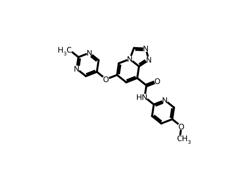 COc1ccc(NC(=O)c2cc(Oc3cnc(C)nc3)cn3cnnc23)nc1